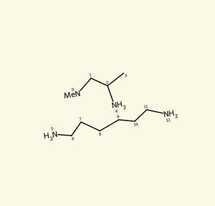 CNCC(C)N.NCCCCCCN